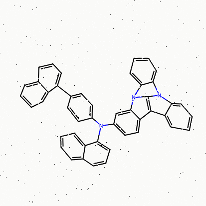 c1ccc2c(-c3ccc(N(c4ccc5c6c7ccccc7n7c8ccccc8n(c5c4)c67)c4cccc5ccccc45)cc3)cccc2c1